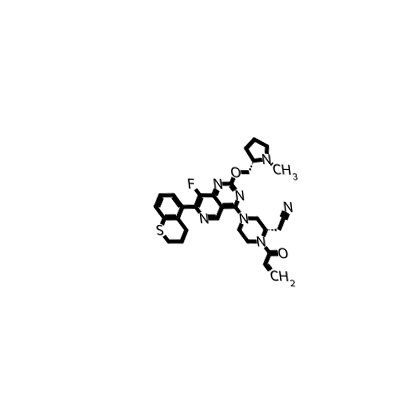 C=CC(=O)N1CCN(c2nc(OC[C@@H]3CCCN3C)nc3c(F)c(-c4cccc5c4CCCS5)ncc23)C[C@@H]1CC#N